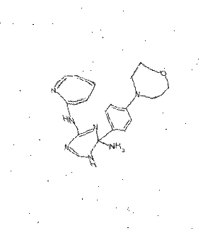 NC1(c2ccc(N3CCOCC3)cc2)N=C(Nc2ccccn2)N=CN1